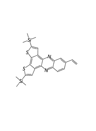 C=Cc1ccc2nc3c4cc([Si](C)(C)C)sc4c4sc([Si](C)(C)C)cc4c3nc2c1